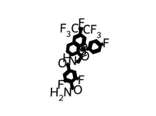 NC(=O)c1c(F)cc(C(=O)N2CC[C@]3(S(=O)(=O)c4ccc(F)cc4)c4ccc(C(F)(C(F)(F)F)C(F)(F)F)cc4CC[C@H]23)cc1F